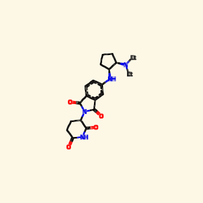 CCN(CC)[C@@H]1CCC[C@@H]1Nc1ccc2c(c1)C(=O)N(C1CCC(=O)NC1=O)C2=O